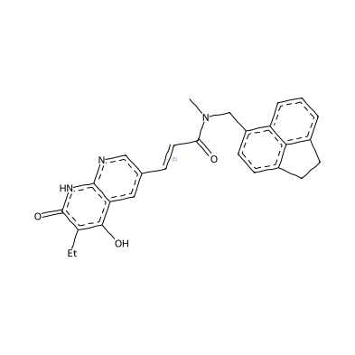 CCc1c(O)c2cc(/C=C/C(=O)N(C)Cc3ccc4c5c(cccc35)CC4)cnc2[nH]c1=O